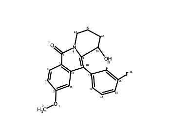 COc1ccc2c(=O)n3c(c(-c4cccc(F)c4)c2c1)C(O)CCC3